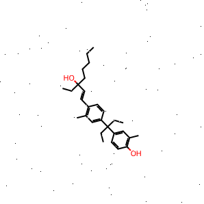 CCCCCC(O)(C=Cc1ccc(C(CC)(CC)c2ccc(O)c(C)c2)cc1C)CC